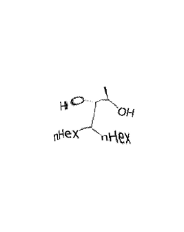 CCCCCCC(CCCCCC)[C@H](O)[C@@H](C)O